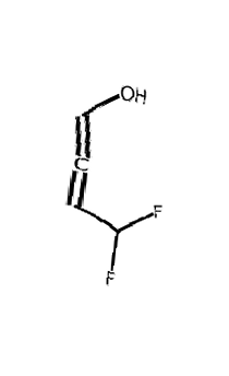 OC=C=CC(F)F